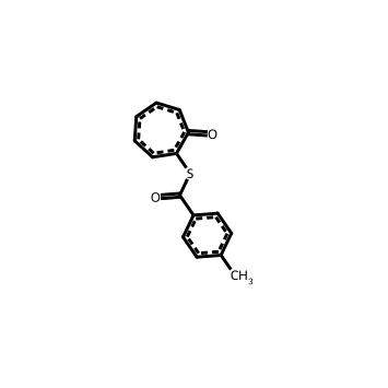 Cc1ccc(C(=O)Sc2cccccc2=O)cc1